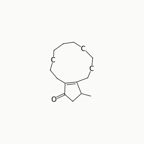 CC1CC(=O)C2=C1CCCCCCCCCC2